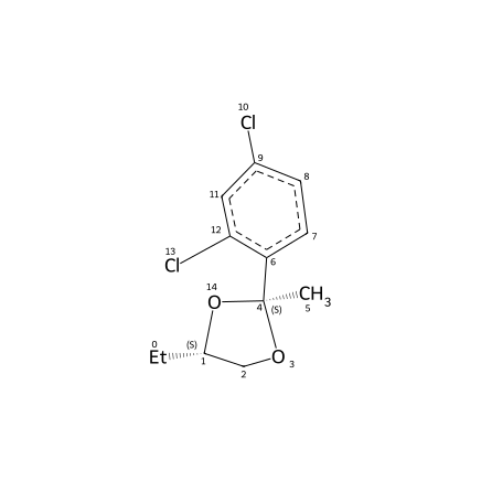 CC[C@H]1CO[C@](C)(c2ccc(Cl)cc2Cl)O1